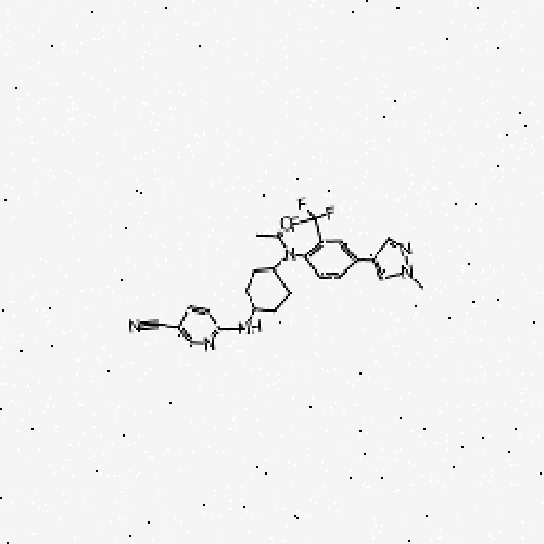 CC(=O)N(c1ccc(-c2cnn(C)c2)cc1C(F)(F)F)C1CCC(Nc2ccc(C#N)cn2)CC1